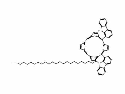 CCCCCCCCCCCCCCCCCCCCCCCCCCCCCCCCn1c2ccccc2c2cccc(-c3c4nc(c(-c5cccc6c7ccccc7n(C)c56)c5ccc(cc6nc(cc7ccc3[nH]7)C=C6)[nH]5)C=C4)c21